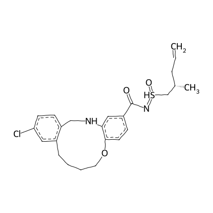 C=CC[C@H](C)C/[SH](=O)=N/C(=O)c1ccc2c(c1)NCc1ccc(Cl)cc1CCCCO2